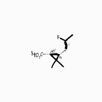 C/C(F)=C/[C@H]1[C@@H](C(=O)O)C1(C)C